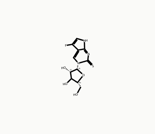 OC[C@H]1O[C@@H](n2cc3c(F)c[nH]c3nc2=S)[C@@H](O)C1O